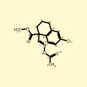 COC(=O)C1(/C=N/OC(C)=O)CCCc2cc(Cl)ccc21